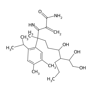 C=C(C(=N)C(C)(CCC(O)C(CCC)C(O)CO)c1cc(C)c(C)cc1C(C)C)C(N)=O